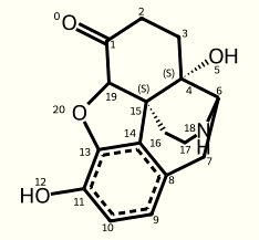 O=C1CC[C@@]2(O)C3Cc4ccc(O)c5c4[C@@]2(CCN3)C1O5